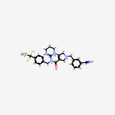 CC(F)(F)c1ccc(CN2C(=O)C3=C(CN(Cc4cccc(C#N)c4)C3)N3CCCN=C23)cc1